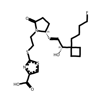 O=C(O)c1csc(SCCN2C(=O)CC[C@@H]2C=C[C@@H](O)C2(CCCCF)CCC2)n1